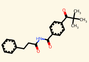 CC(C)(C)C(=O)c1ccc(C(=O)NC(=O)CCc2ccccc2)cc1